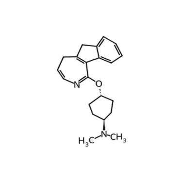 CN(C)[C@H]1CC[C@H](OC2=NC=CCC3=C2c2ccccc2C3)CC1